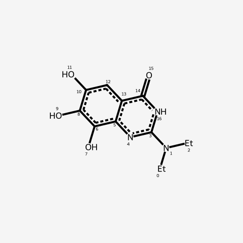 CCN(CC)c1nc2c(O)c(O)c(O)cc2c(=O)[nH]1